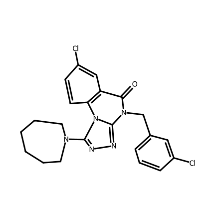 O=c1c2cc(Cl)ccc2n2c(N3CCCCCC3)nnc2n1Cc1cccc(Cl)c1